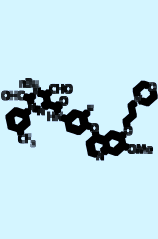 CCCCN1C(C=O)C(C(=O)Nc2ccc(Oc3ccnc4cc(OC)c(OCCCN5CCOCC5)cc34)c(F)c2)=NN(c2cccc(C(F)(F)F)c2)C1C=O